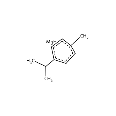 [CH2]c1ccc(C(C)C)cc1.[MgH2]